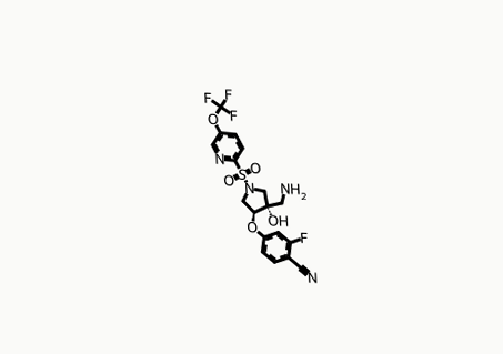 N#Cc1ccc(O[C@H]2CN(S(=O)(=O)c3ccc(OC(F)(F)F)cn3)C[C@@]2(O)CN)cc1F